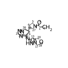 C=CC(=O)N1CC[C@H](c2cc(Nc3cc4n(n3)CCOC4)c3ncnn3c2)C1